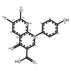 O=C(O)c1cn(-c2ccc(O)cc2)c2nc(Cl)c(F)cc2c1=O